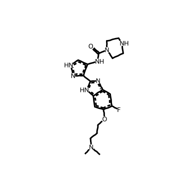 CN(C)CCCOc1cc2[nH]c(-c3n[nH]cc3NC(=O)N3CCNCC3)nc2cc1F